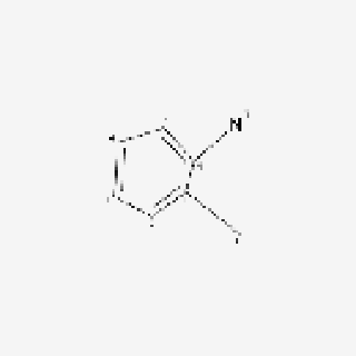 Cc1ccccc1[N]